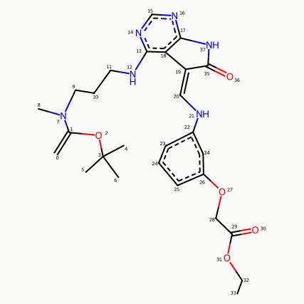 C=C(OC(C)(C)C)N(C)CCCNc1ncnc2c1/C(=C/Nc1cccc(OCC(=O)OCC)c1)C(=O)N2